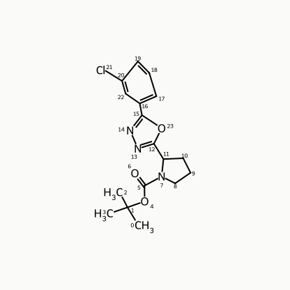 CC(C)(C)OC(=O)N1CCCC1c1nnc(-c2cccc(Cl)c2)o1